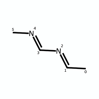 CC=NC=NC